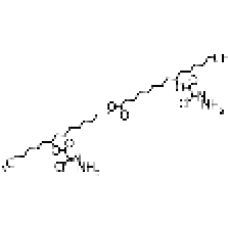 CCCCCCC(CCCCCCCCOC(=O)CCCCCCCC(CCCCCC)OC(=O)C(Cl)=NN)OC(=O)C(Cl)=NN